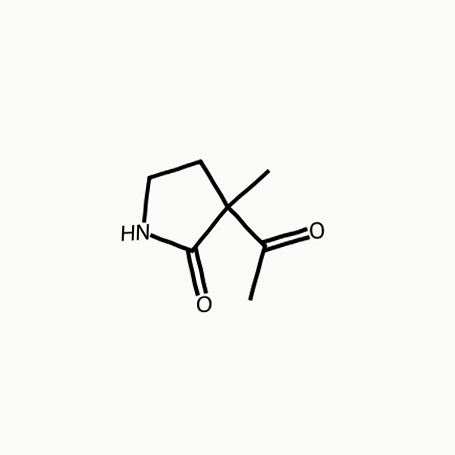 CC(=O)C1(C)CCNC1=O